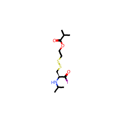 CC(C)N[C@@H](CSSCCOC(=O)C(C)C)C(=O)I